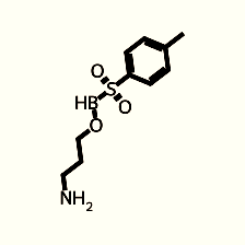 Cc1ccc(S(=O)(=O)BOCCCN)cc1